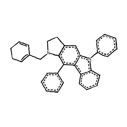 C1=CC(CN2CCc3cc4c(c(-c5ccccc5)c32)c2ccccc2n4-c2ccccc2)=CCC1